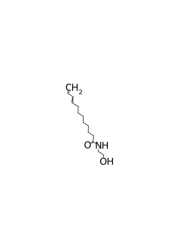 C=C/C=C/CCCCCCCC(=O)NCCO